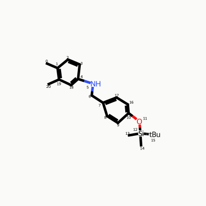 Cc1ccc(NCc2ccc(O[Si](C)(C)C(C)(C)C)cc2)cc1C